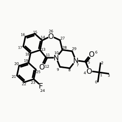 CC(C)(C)OC(=O)N1CCN2C(=O)c3c(cccc3-c3cccc(F)c3)OCC2C1